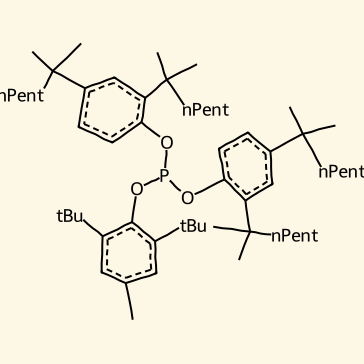 CCCCCC(C)(C)c1ccc(OP(Oc2ccc(C(C)(C)CCCCC)cc2C(C)(C)CCCCC)Oc2c(C(C)(C)C)cc(C)cc2C(C)(C)C)c(C(C)(C)CCCCC)c1